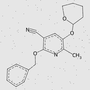 Cc1nc(OCc2ccccc2)c(C#N)cc1OC1CCCCO1